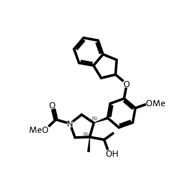 COC(=O)N1C[C@@H](c2ccc(OC)c(OC3Cc4ccccc4C3)c2)[C@](C)(C(C)O)C1